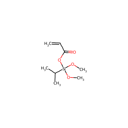 C=CC(=O)O[Si](OC)(OC)C(C)C